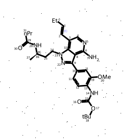 CC/C=C/c1cnc(N)c2c(-c3ccc(NC(=O)OC(C)(C)C)c(OC)c3)nn(CC[C@@H](C)NC(=O)CCC)c12